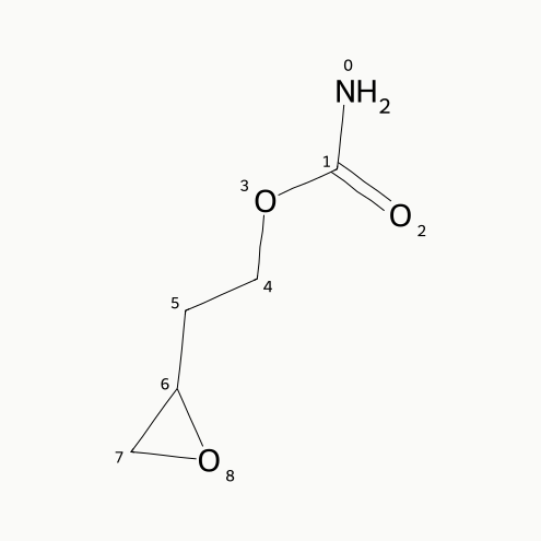 NC(=O)OCCC1CO1